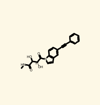 CNC(=O)C(O)[C@@H](O)C(=O)n1ccc2cc(C#Cc3ccccc3)ccc21